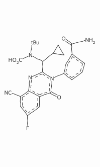 CC(C)(C)N(C(=O)O)C(c1nc2c(C#N)cc(F)cc2c(=O)n1-c1cccc(C(N)=O)c1)C1CC1